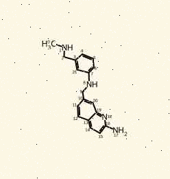 CNCc1cccc(NCc2ccc3ccc(N)nc3c2)c1